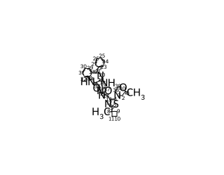 C[C@H]1CN(c2sc(C3(C)CCC3)nc2-c2nnc(N[C@H]3N=C(c4ccccc4)c4ccccc4NC3=O)o2)CCO1